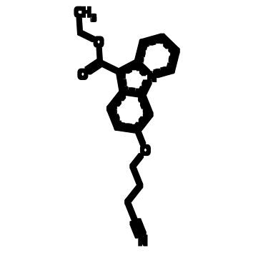 CCOC(=O)c1c2ccc(OCCCC#N)cc2n2ccccc12